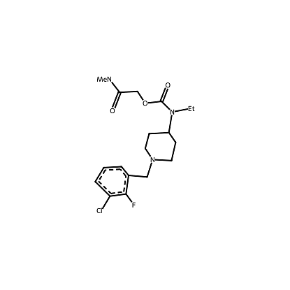 CCN(C(=O)OCC(=O)NC)C1CCN(Cc2cccc(Cl)c2F)CC1